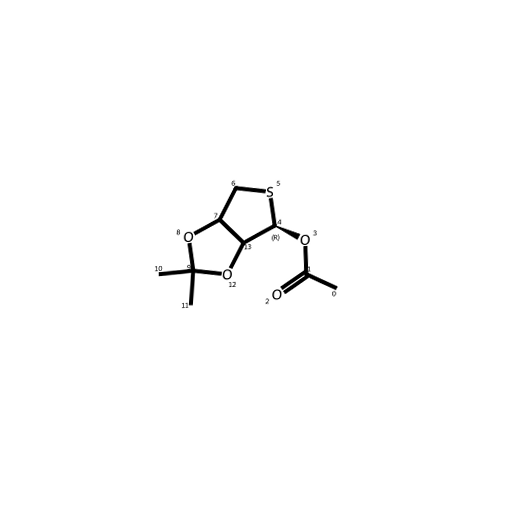 CC(=O)O[C@@H]1SCC2OC(C)(C)OC21